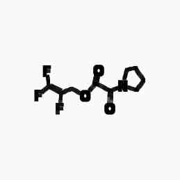 O=C(OCC(F)=C(F)F)C(=O)N1CCCC1